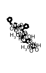 CS[C@@]1(NC(=O)C(NC(=O)N2CCN(Cc3ccccc3)C(=O)C2=O)c2ccccc2)C(=O)N2C(C(=O)O)=C(CSc3n[nH]c(=O)c(=O)n3C)CS[C@@H]21